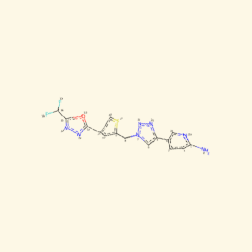 Nc1ccc(-c2cn(Cc3cc(-c4nnc(C(F)F)o4)cs3)nn2)cn1